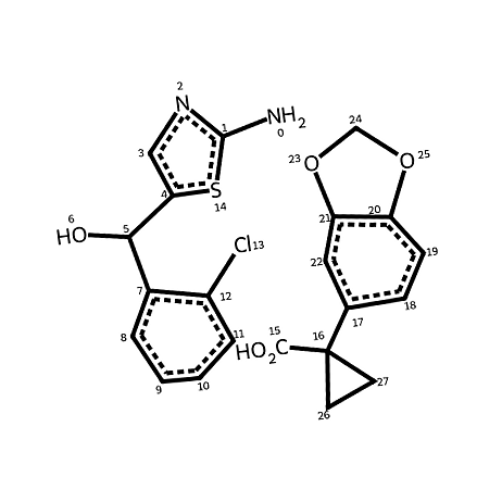 Nc1ncc(C(O)c2ccccc2Cl)s1.O=C(O)C1(c2ccc3c(c2)OCO3)CC1